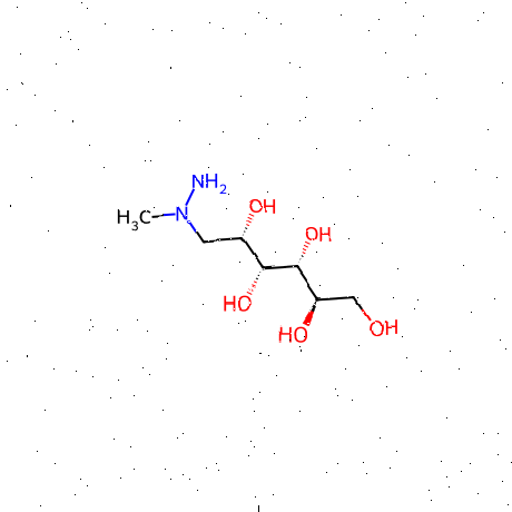 CN(N)C[C@H](O)[C@@H](O)[C@H](O)[C@H](O)CO